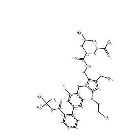 CCCOc1nc(CC)c(CNC(=O)[C@@H](CSC(C)=O)CC(C)C)n1Cc1ccc(-c2ccccc2C(=O)OC(C)(C)C)cc1F